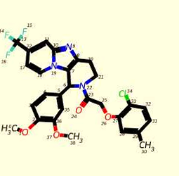 COc1ccc(C2c3c(nc4cc(C(F)(F)F)ccn34)CCN2C(=O)COc2cc(C)ccc2Cl)cc1OC